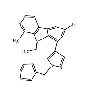 CCn1c2c(-c3cnn(Cc4ccccc4)c3)cc(Br)cc2c2ccnc(C)c21